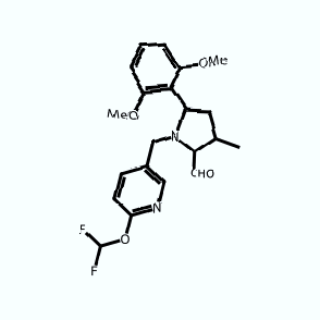 COc1cccc(OC)c1C1CC(C)C(C=O)N1Cc1ccc(OC(F)F)nc1